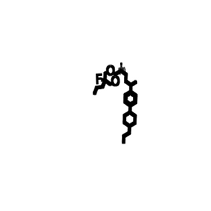 CCCC1CCC(c2ccc(C(C)CC[C@@H](C)C3OCC(F)(CCC)CO3)cc2)CC1